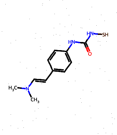 CN(C)C=Cc1ccc(NC(=O)NS)cc1